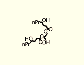 CCCC(O)CCC(=O)OCC(CO)OC(=O)CCC(O)CCC